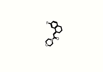 O=C(C=C1CCCc2ccc(F)cc21)N1CCOCC1